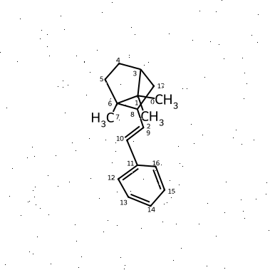 CC1(C)C2CCC1(C)C(C=Cc1ccccc1)C2